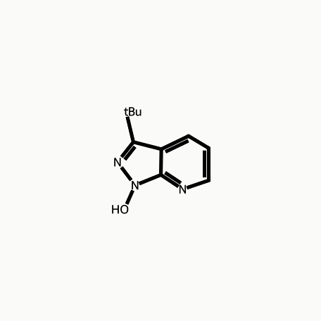 CC(C)(C)c1nn(O)c2ncccc12